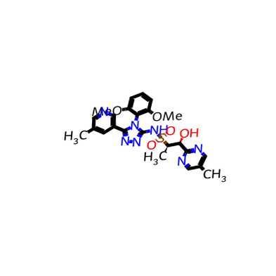 COc1cccc(OC)c1-n1c(NS(=O)(=O)[C@@H](C)[C@@H](O)c2ncc(C)cn2)nnc1-c1cncc(C)c1